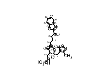 Cc1noc(C)c1CS(=O)(=O)C(CNC(=O)O)C(=O)NCCCC(=O)c1nc2ccccc2o1